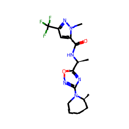 C[C@H](NC(=O)c1cc(C(F)(F)F)nn1C)c1nc(N2CCCC[C@@H]2C)no1